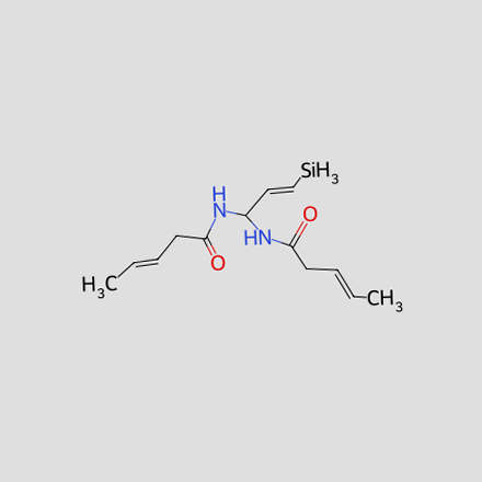 CC=CCC(=O)NC(C=C[SiH3])NC(=O)CC=CC